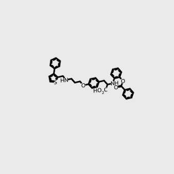 O=C(Oc1ccccc1NC(Cc1ccc(OCCCNCc2sccc2-c2ccccc2)cc1)C(=O)O)c1ccccc1